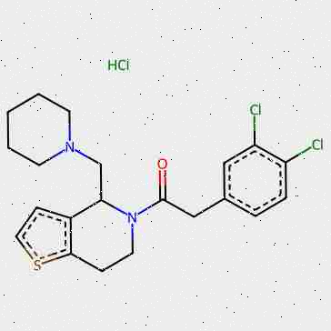 Cl.O=C(Cc1ccc(Cl)c(Cl)c1)N1CCc2sccc2C1CN1CCCCC1